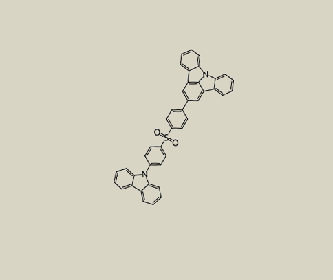 O=S(=O)(c1ccc(-c2cc3c4ccccc4n4c5ccccc5c(c2)c34)cc1)c1ccc(-n2c3ccccc3c3ccccc32)cc1